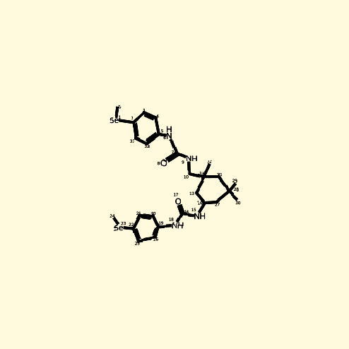 C[Se]c1ccc(NC(=O)NCC2(C)CC(NC(=O)Nc3ccc([Se]C)cc3)CC(C)(C)C2)cc1